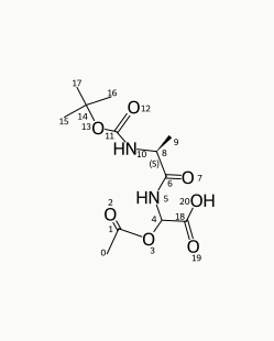 CC(=O)OC(NC(=O)[C@H](C)NC(=O)OC(C)(C)C)C(=O)O